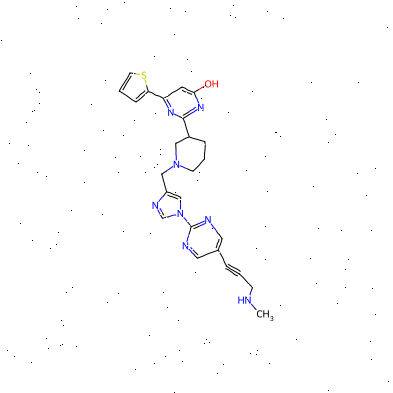 CNCC#Cc1cnc(-n2cnc(CN3CCCC(c4nc(O)cc(-c5cccs5)n4)C3)c2)nc1